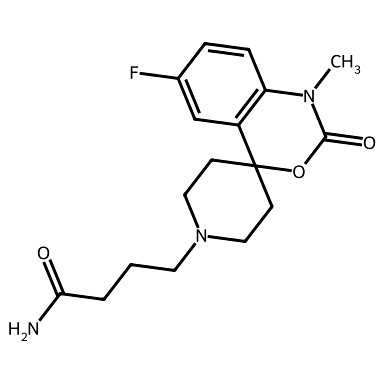 CN1C(=O)OC2(CCN(CCCC(N)=O)CC2)c2cc(F)ccc21